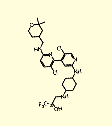 CC1(C)CC(CNc2ccc(Cl)c(-c3cc(NC4CCC(NC[C@H](O)C(F)(F)F)CC4)ncc3Cl)n2)CCO1